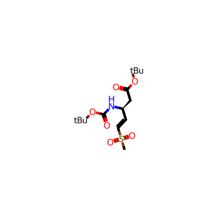 CC(C)(C)OC(=O)C[C@@H](/C=C/S(C)(=O)=O)NC(=O)OC(C)(C)C